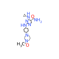 CC(=O)N1CCCN(c2ccc(Nc3ncc(C(N)=O)c(NC4CC4)n3)cc2)CC1